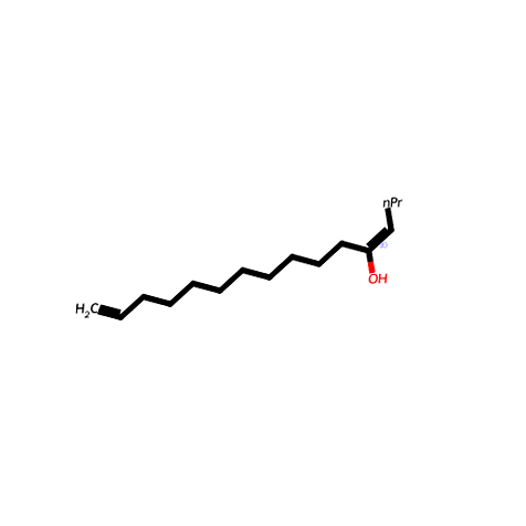 C=CCCCCCCCCC/C(O)=C\CCC